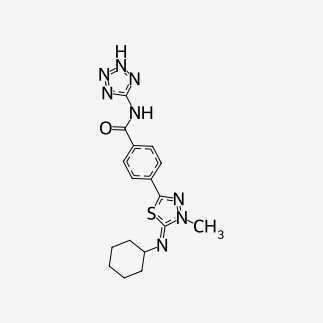 Cn1nc(-c2ccc(C(=O)Nc3nn[nH]n3)cc2)sc1=NC1CCCCC1